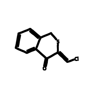 O=C1C(=CCl)SCc2ccccc21